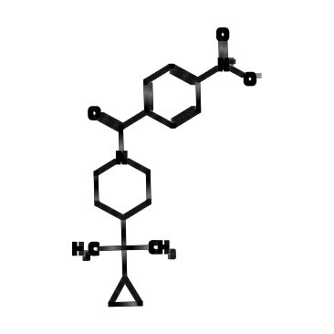 CC(C)(C1CC1)C1CCN(C(=O)c2ccc([N+](=O)[O-])cc2)CC1